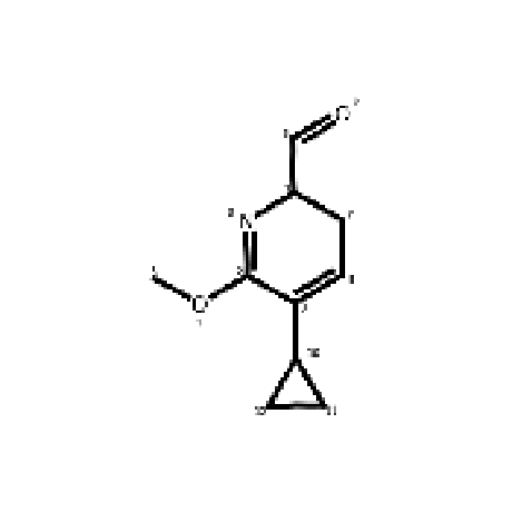 COC1=NC(C=O)CC=C1C1CC1